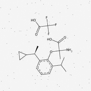 CC(C)c1cccc([C@H](C)C2CC2)c1OC(C)(N)C(=O)O.O=C(O)C(F)(F)F